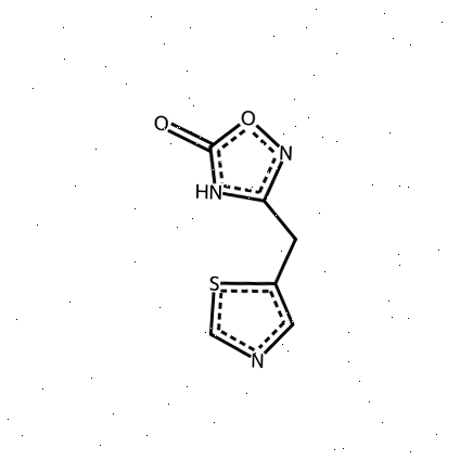 O=c1[nH]c(Cc2cncs2)no1